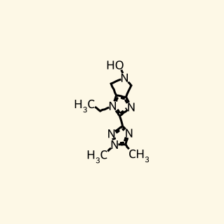 CCn1c(-c2nc(C)n(C)n2)nc2c1CN(O)C2